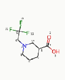 O=C(O)C1CCCN(CC(F)(F)F)C1